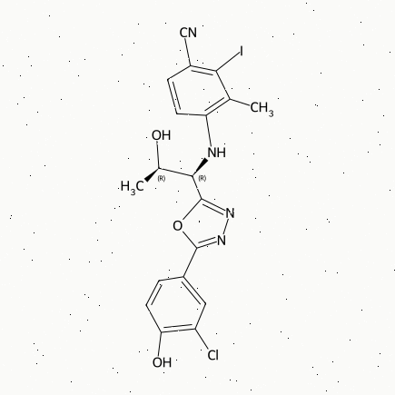 Cc1c(N[C@@H](c2nnc(-c3ccc(O)c(Cl)c3)o2)[C@@H](C)O)ccc(C#N)c1I